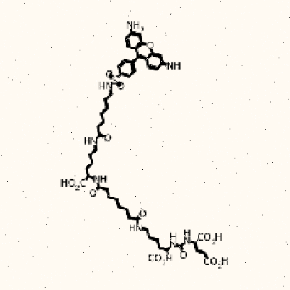 N=c1ccc2c(-c3ccc(S(=O)(=O)NCCCCCCC(=O)NCCCCC(NC(=O)CCCCCCC(=O)NCCCC[C@H](NC(=O)N[C@@H](CCC(=O)O)C(=O)O)C(=O)O)C(=O)O)cc3)c3ccc(N)cc3oc-2c1